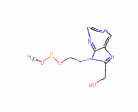 COPOCCn1c(CO)nc2cncnc21